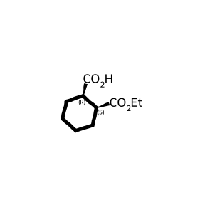 CCOC(=O)[C@H]1CCCC[C@H]1C(=O)O